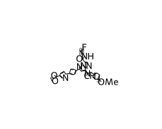 COc1ccc(CN(C)c2cc(-c3ccc(-c4ccc(C5OCCO5)cn4)cc3)nn3c(C(=O)N[C@@H]4C[C@@H]4F)cnc23)cc1